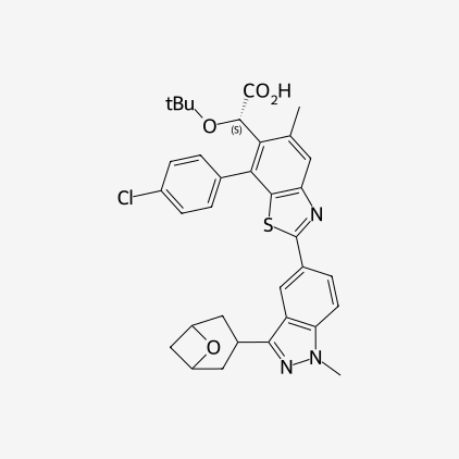 Cc1cc2nc(-c3ccc4c(c3)c(C3CC5CC(C3)O5)nn4C)sc2c(-c2ccc(Cl)cc2)c1[C@H](OC(C)(C)C)C(=O)O